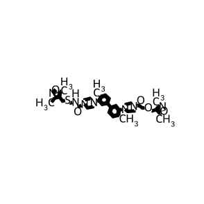 Cc1ccc(-c2ccc(C)c(N3CCN(C(=O)NCSCc4c(C)noc4C)CC3)c2)cc1N1CCN(C(=O)COCc2c(C)noc2C)CC1